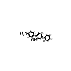 Nc1ccc(-c2ccc(-c3ccccc3)cc2)c(O)c1